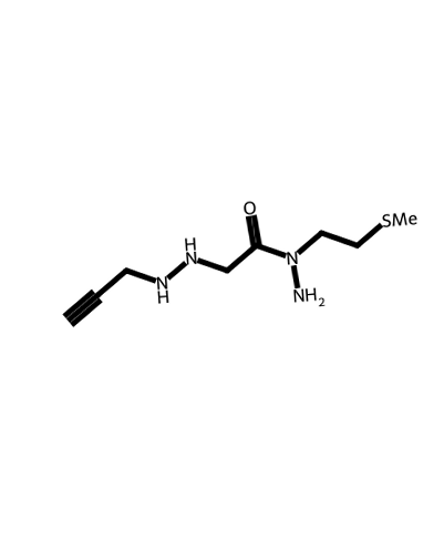 C#CCNNCC(=O)N(N)CCSC